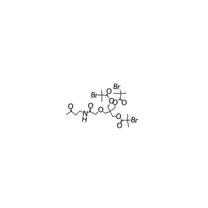 CC(=O)CCNC(=O)COCC(COC(=O)C(C)(C)Br)(COC(=O)C(C)(C)Br)COC(=O)C(C)(C)Br